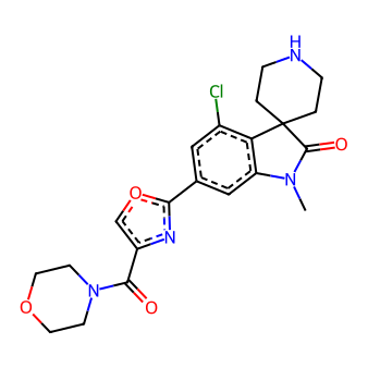 CN1C(=O)C2(CCNCC2)c2c(Cl)cc(-c3nc(C(=O)N4CCOCC4)co3)cc21